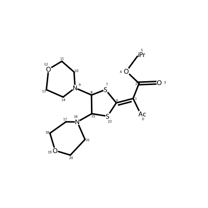 CC(=O)C(C(=O)OC(C)C)=C1SC(N2CCOCC2)C(N2CCOCC2)S1